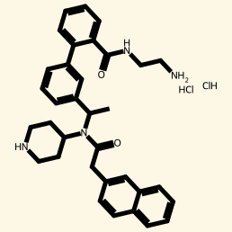 CC(c1cccc(-c2ccccc2C(=O)NCCN)c1)N(C(=O)Cc1ccc2ccccc2c1)C1CCNCC1.Cl.Cl